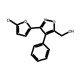 OCc1onc(-c2ccc(Cl)o2)c1-c1ccccc1